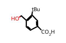 CC(C)(C)c1cc(C(=O)O)ccc1CO